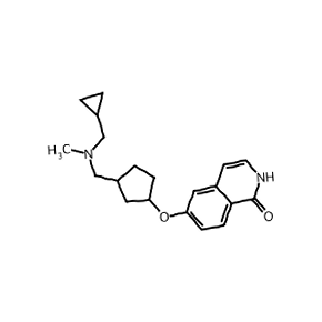 CN(CC1CC1)CC1CCC(Oc2ccc3c(=O)[nH]ccc3c2)C1